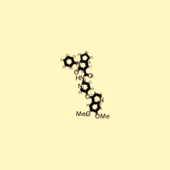 COc1cc2nccc(Oc3ccc(NC(=O)c4cc5c(n(-c6ccccc6)c4=O)CCC5)nc3)c2cc1OC